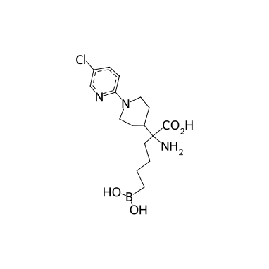 NC(CCCCB(O)O)(C(=O)O)C1CCN(c2ccc(Cl)cn2)CC1